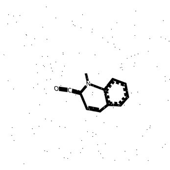 CN1C(=C=O)C=Cc2ccccc21